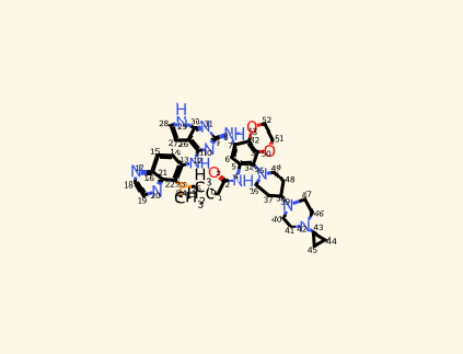 C=CC(=O)Nc1cc(Nc2nc(Nc3ccc4nccnc4c3P(C)C)c3cc[nH]c3n2)c2c(c1N1CCC(N3CCN(C4CC4)CC3)CC1)OCCO2